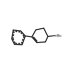 CCCCC1CC=C(c2ccccc2)CC1